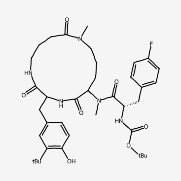 CN1CCCC(N(C)C(=O)[C@H](Cc2ccc(F)cc2)NC(=O)OC(C)(C)C)C(=O)NC(Cc2ccc(O)c(C(C)(C)C)c2)C(=O)NCCCC1=O